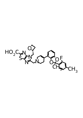 Cc1ccc([C@@]2(C)Oc3cccc(C4=CCN(Cc5nc6sc(C(=O)O)nc6n5C[C@@H]5CCO5)CC4)c3O2)c(F)c1